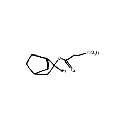 CC(C)C1(OC(=O)CC(=O)O)CC2CCC1C2